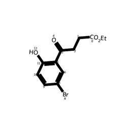 CCOC(=O)CCC(=O)c1cc(Br)ccc1O